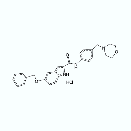 Cl.O=C(Nc1ccc(CN2CCOCC2)cc1)c1cc2cc(OCc3ccccc3)ccc2[nH]1